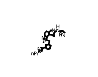 CCCn1cc(-c2cccc(Cc3c4c(nn3C)CCC3=C4/C=C/C=C(Nc4ccn(C)n4)/N=C\3)c2)cn1